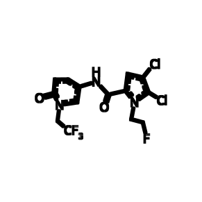 O=C(Nc1ccc(=O)n(CC(F)(F)F)c1)c1cc(Cl)c(Cl)n1CCF